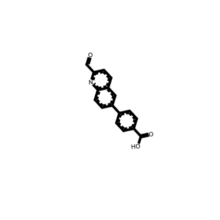 O=Cc1ccc2cc(-c3ccc(C(=O)O)cc3)ccc2n1